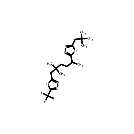 CC(CCC(C)(C)Cc1nnc(C(F)(F)F)o1)c1nnc(CC(C)(C)C)o1